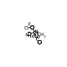 Cn1nc(-c2ccc(F)c(Cl)c2)c(-c2ccncc2)c1NC(=O)Cc1ccccc1